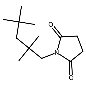 CC(C)(C)CC(C)(C)CN1C(=O)CCC1=O